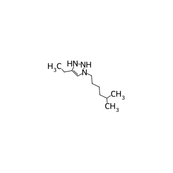 CCC1=CN(CCCCC(C)C)NN1